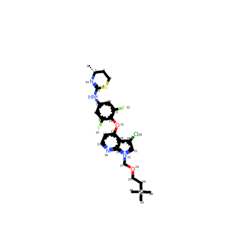 C[C@@H]1CCSC(Nc2cc(F)c(Oc3ccnc4c3c(Cl)cn4COCC[Si](C)(C)C)c(F)c2)=N1